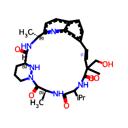 CC(C)C1NC(=O)C(CO)(CO)/C=C/c2ccc3ccc(nc3c2)[C@@H](C)NC(=O)[C@@H]2CCCN(N2)C(=O)[C@H](C)NC1=O